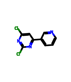 Clc1cc(-c2cccnc2)nc(Cl)n1